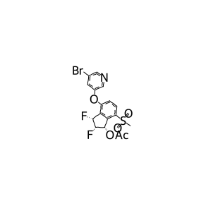 CC(=O)O[C@H]1c2c(S(C)(=O)=O)ccc(Oc3cncc(Br)c3)c2[C@@H](F)[C@H]1F